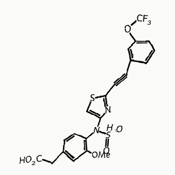 COc1cc(CC(=O)O)ccc1N(c1csc(C#Cc2cccc(OC(F)(F)F)c2)n1)[SH](=O)=O